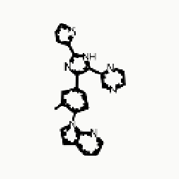 Cc1cc(-c2nc(-c3cccs3)[nH]c2-c2cnccn2)ccc1-n1ccc2cccnc21